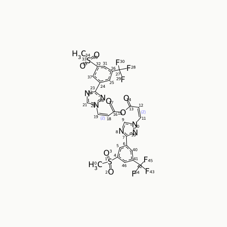 CS(=O)(=O)c1cc(-c2ncn(/C=C\C(=O)OC(=O)/C=C\n3cnc(-c4cc(C(F)(F)F)cc(S(C)(=O)=O)c4)n3)n2)cc(C(F)(F)F)c1